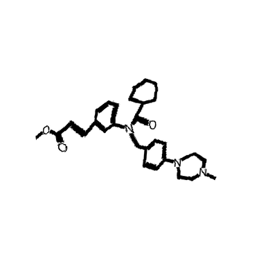 COC(=O)/C=C/c1cccc(N(Cc2ccc(N3CCN(C)CC3)cc2)C(=O)C2CCCCC2)c1